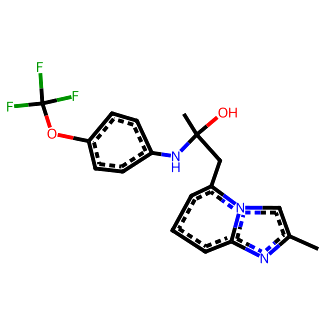 Cc1cn2c(CC(C)(O)Nc3ccc(OC(F)(F)F)cc3)cccc2n1